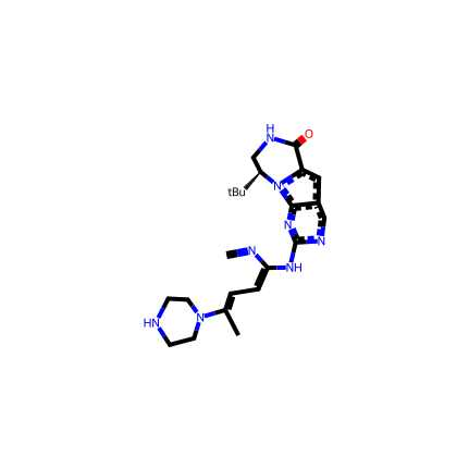 C=N/C(=C\C=C(/C)N1CCNCC1)Nc1ncc2cc3n(c2n1)[C@@H](C(C)(C)C)CNC3=O